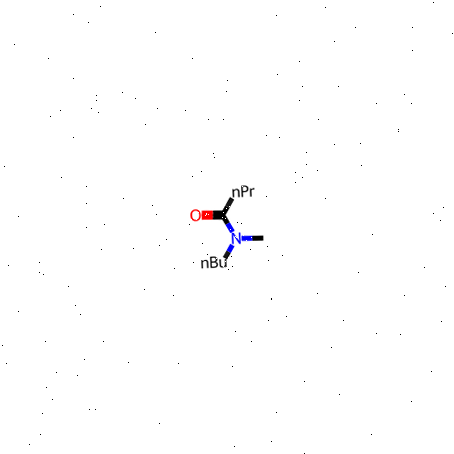 CCCCN(C)C(=O)CCC